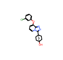 OC12CCC(c3nnc4c(Oc5cccc(Cl)c5)cccn34)(CC1)CC2